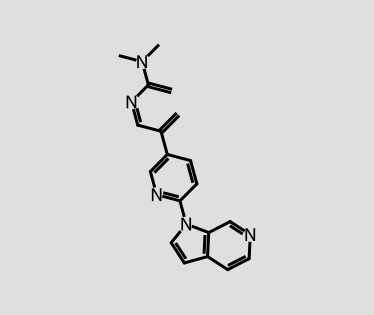 C=C(/C=N\C(=C)N(C)C)c1ccc(-n2ccc3ccncc32)nc1